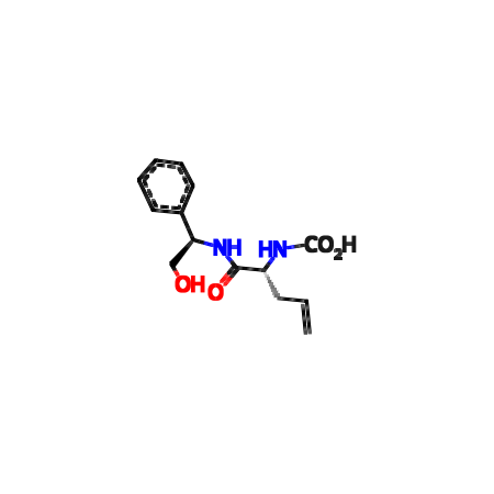 C=CC[C@@H](NC(=O)O)C(=O)N[C@@H](CO)c1ccccc1